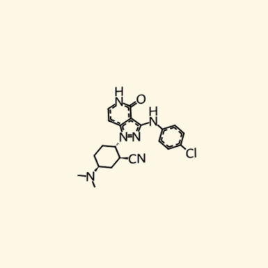 CN(C)[C@H]1CC[C@H](n2nc(Nc3ccc(Cl)cc3)c3c(=O)[nH]ccc32)[C@@H](C#N)C1